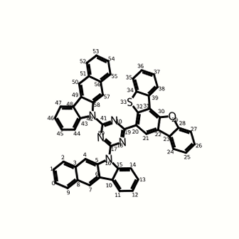 c1ccc2cc3c(cc2c1)c1ccccc1n3-c1nc(-c2cc3c4ccccc4oc3c3c2sc2ccccc23)nc(-n2c3ccccc3c3cc4ccccc4cc32)n1